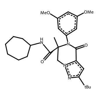 COc1cc(OC)cc(N2C(=O)c3cc(C(C)(C)C)nn3CC2(C)C(=O)NC2CCCCCC2)c1